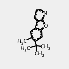 Cc1cc2c(cc1C(C)(C)C)oc1ncccc12